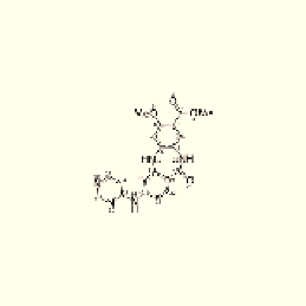 COC(=O)c1cc2c(cc1OC)Nc1cc(Nc3ccncn3)ccc1C(=O)N2